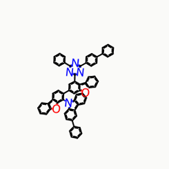 c1ccc(-c2ccc(-c3nc(-c4ccccc4)nc(-c4cc(-c5ccc6c(oc7ccccc76)c5-n5c6ccccc6c6cc(-c7ccccc7)ccc65)cc5oc6ccccc6c45)n3)cc2)cc1